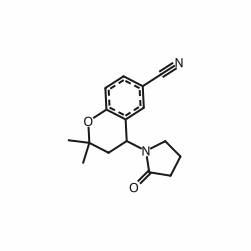 CC1(C)CC(N2CCCC2=O)c2cc(C#N)ccc2O1